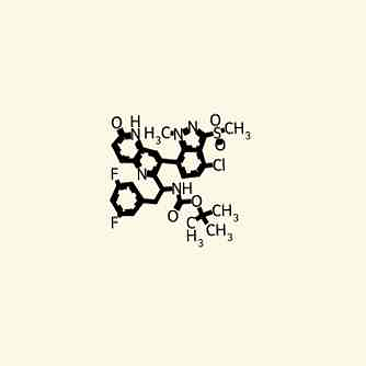 Cn1nc(S(C)(=O)=O)c2c(Cl)ccc(-c3cc4[nH]c(=O)ccc4nc3C(Cc3cc(F)cc(F)c3)NC(=O)OC(C)(C)C)c21